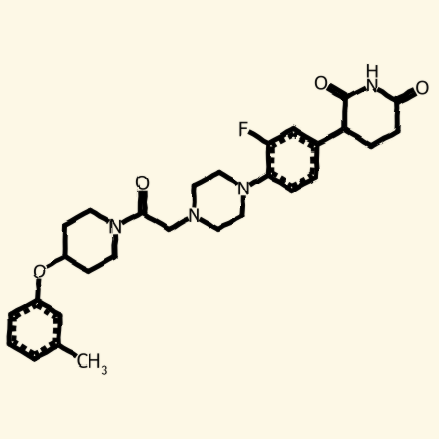 Cc1cccc(OC2CCN(C(=O)CN3CCN(c4ccc(C5CCC(=O)NC5=O)cc4F)CC3)CC2)c1